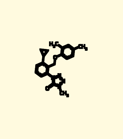 Cc1ccc(OCc2c(C3CC3)cccc2-n2nnn(C)c2=O)c(C)c1